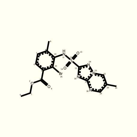 CCOC(=O)c1ccc(C)c(NS(=O)(=O)c2nc3ncc(C)cn3n2)c1Br